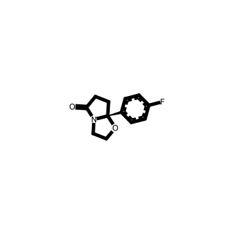 O=C1CC[C@]2(c3ccc(F)cc3)OCCN12